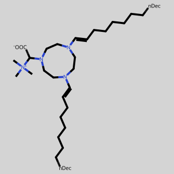 CCCCCCCCCCCCCCCCC=CN1CCN(C=CCCCCCCCCCCCCCCCC)CCN(C(C(=O)[O-])[N+](C)(C)C)CC1